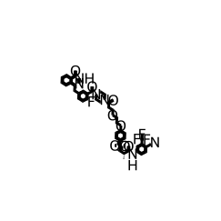 C[C@H](CS(=O)(=O)c1ccc(OCCOCCC(=O)N2CCN(C(=O)c3cc(Cc4n[nH]c(=O)c5ccccc45)ccc3F)CC2)cc1)C(=O)Nc1ccc(C#N)c(C(F)(F)F)c1